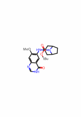 COc1cc2nc[nH]c(=O)c2cc1NC1CC2CCC(C1)N2C(=O)OC(C)(C)C